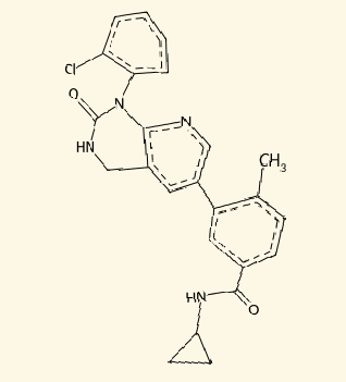 Cc1ccc(C(=O)NC2CC2)cc1-c1cnc2c(c1)CNC(=O)N2c1ccccc1Cl